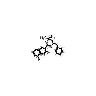 CC1(C)CC(Cc2ccccc2)N=C(c2cc3cccc(F)c3nc2F)O1